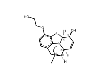 CN1CC[C@]23c4c5ccc(OCCO)c4O[C@H]2[C@@H](O)C=C[C@H]3[C@H]1C5